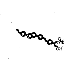 C=C(C)C(=O)OCC(CCO)C1CCC(CCc2ccc(C3CCc4cc(-c5ccc(CCC)cc5)ccc4C3)cc2)CC1